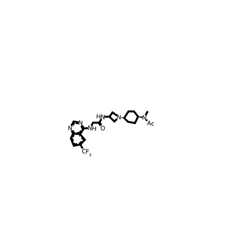 CC(=O)N(C)[C@H]1CC[C@H](N2CC(NC(=O)CNc3ncnc4ccc(C(F)(F)F)cc34)C2)CC1